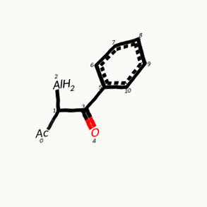 CC(=O)[CH]([AlH2])C(=O)c1ccccc1